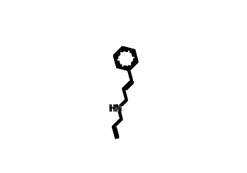 C=CCNCC=Cc1ccccc1